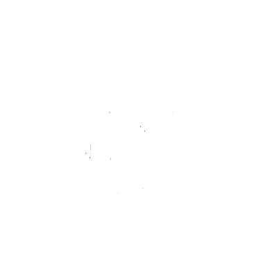 C(=N\c1c2ccccc2cc2ccccc12)/c1cccc2cc[nH]c12